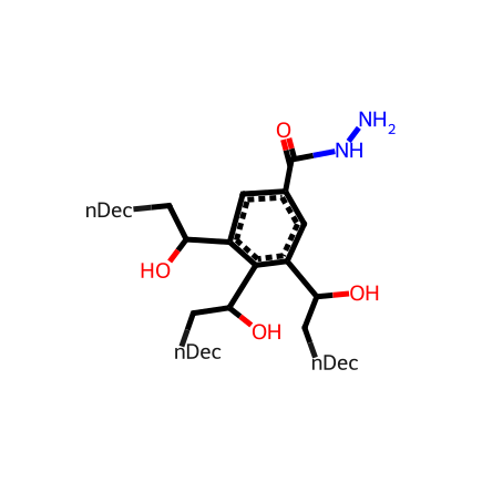 CCCCCCCCCCCC(O)c1cc(C(=O)NN)cc(C(O)CCCCCCCCCCC)c1C(O)CCCCCCCCCCC